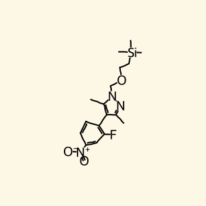 Cc1nn(COCC[Si](C)(C)C)c(C)c1-c1ccc([N+](=O)[O-])cc1F